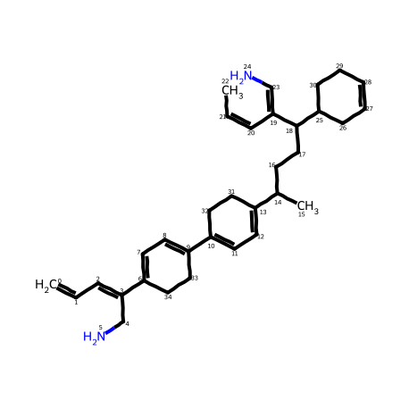 C=C/C=C(\CN)C1=CC=C(C2=CC=C(C(C)CCC(C(/C=C\C)=C/N)C3CC=CCC3)CC2)CC1